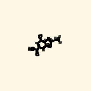 O=C(O)c1cc(Cl)c2nc(C3CC3)oc2c1